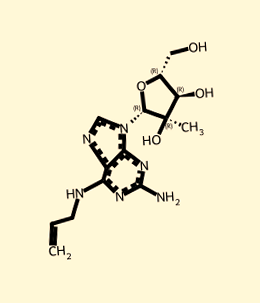 C=CCNc1nc(N)nc2c1ncn2[C@@H]1O[C@H](CO)[C@@H](O)[C@@]1(C)O